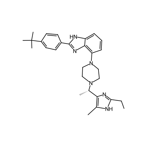 CCc1nc([C@H](C)N2CCN(c3cccc4[nH]c(-c5ccc(C(C)(C)C)cc5)nc34)CC2)c(C)[nH]1